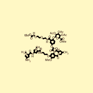 C=C1C[C@H]2C(O)N(C(=O)COc3ccc(O[C@@H]4O[C@H](C(=O)OC)[C@@H](OC(C)=O)[C@H](OC(C)=O)[C@H]4OC(C)=O)c(C(=O)NCCOCCONC(=O)OC(C)(C)C)c3)c3cc(OCCCNC(=O)c4cc(NC(=O)c5cc(N)cn5C)cn4C)c(OC)cc3C(=O)N2C1